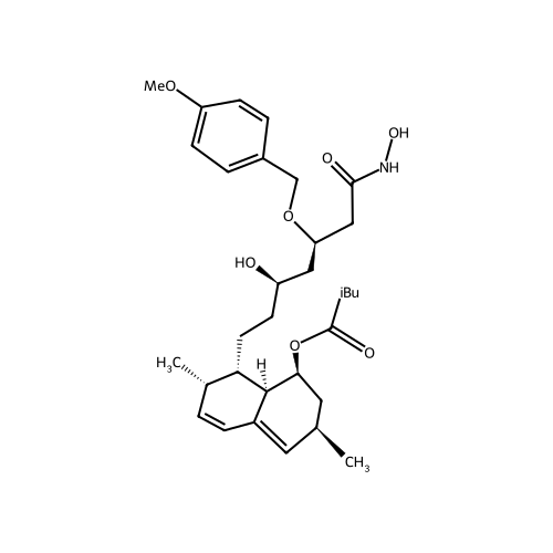 CCC(C)C(=O)O[C@H]1C[C@@H](C)C=C2C=C[C@H](C)[C@H](CC[C@@H](O)C[C@H](CC(=O)NO)OCc3ccc(OC)cc3)[C@H]21